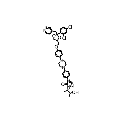 CC(O)C(C)n1ncn(-c2ccc(N3CCN(c4ccc(OCC5COC(Cc6ccnnc6)(c6ccc(Cl)cc6Cl)O5)cc4)CC3)cc2)c1=O